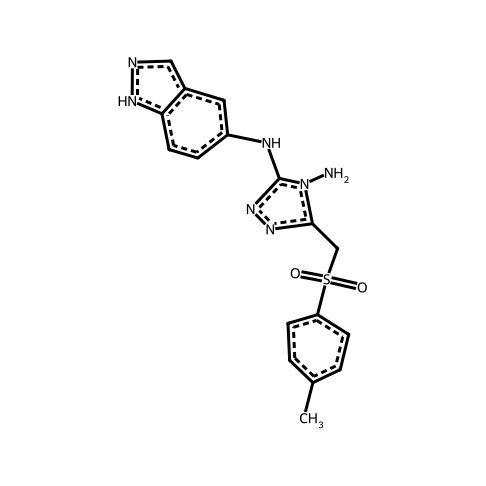 Cc1ccc(S(=O)(=O)Cc2nnc(Nc3ccc4[nH]ncc4c3)n2N)cc1